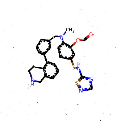 CN(Cc1cccc(-c2cccc3c2CCNC3)c1)c1ccc(SNc2ncns2)cc1OC=O